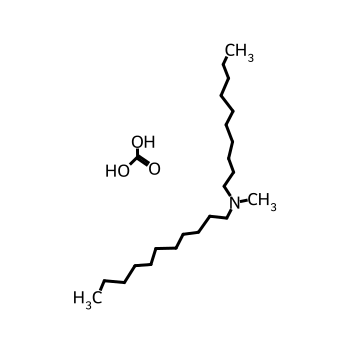 CCCCCCCCCCCN(C)CCCCCCCCCC.O=C(O)O